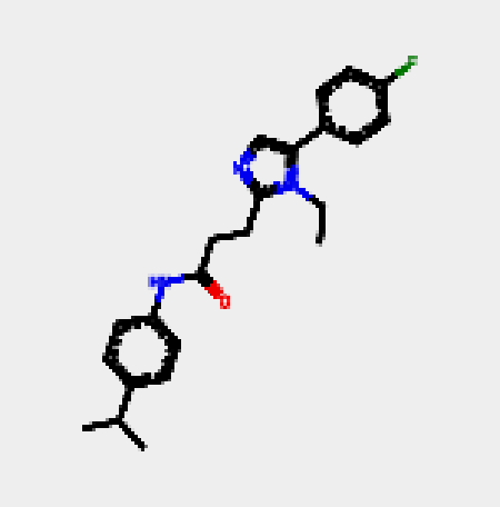 CCn1c(-c2ccc(F)cc2)cnc1CCC(=O)Nc1ccc(C(C)C)cc1